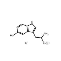 NC(Cc1c[nH]c2ccc(O)cc12)C(=O)O.[Cr]